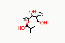 CC(C)C(=O)O.CCCC(O)C(CC)CO